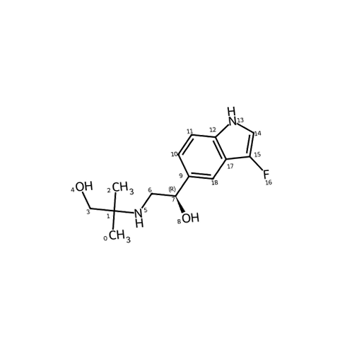 CC(C)(CO)NC[C@H](O)c1ccc2[nH]cc(F)c2c1